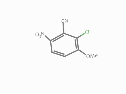 COc1ccc([N+](=O)[O-])c(C#N)c1Cl